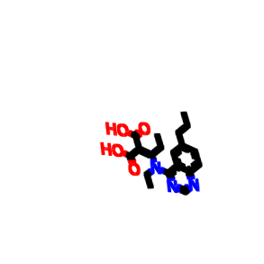 CCCc1ccc2ncnc(N(CC)C(CC)=C(C(=O)O)C(=O)O)c2c1